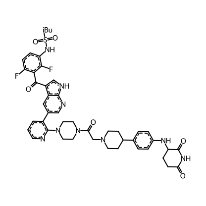 CCC(C)S(=O)(=O)Nc1ccc(F)c(C(=O)c2c[nH]c3ncc(-c4cccnc4N4CCN(C(=O)CN5CCC(c6ccc(NC7CCC(=O)NC7=O)cc6)CC5)CC4)cc23)c1F